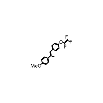 COc1ccc(C(C)=Cc2ccc(OC(F)=C(F)F)cc2)cc1